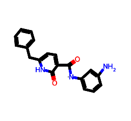 Nc1cccc([N]C(=O)c2ccc(Cc3ccccc3)[nH]c2=O)c1